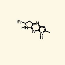 Cc1cc2nc3c(nc2[nH]1)NC(C(C)C)C3